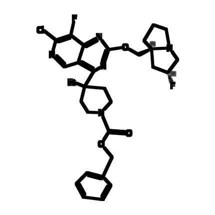 CCC1(c2nc(OC[C@@]34CCCN3C[C@H](F)C4)nc3c(F)c(Cl)ncc23)CCN(C(=O)OCc2ccccc2)CC1